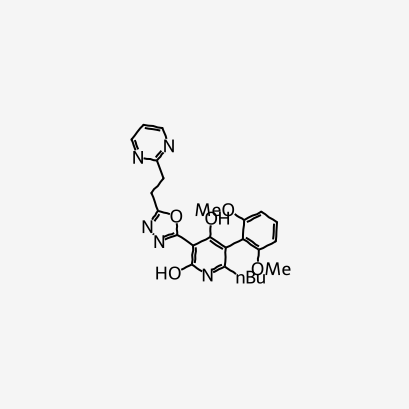 CCCCc1nc(O)c(-c2nnc(CCc3ncccn3)o2)c(O)c1-c1c(OC)cccc1OC